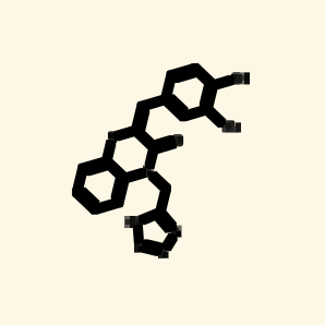 CC(C)(C)c1cc(/C=C2/Sc3ccccc3N(Cc3nnn[nH]3)C2=O)ccc1O